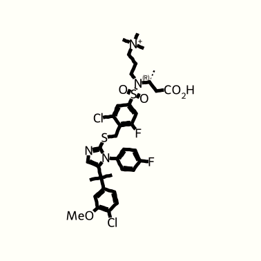 COc1cc(C(C)(C)c2cnc(SCc3c(F)cc(S(=O)(=O)N(CCC[N+](C)(C)C)[C@H](C)CC(=O)O)cc3Cl)n2-c2ccc(F)cc2)ccc1Cl